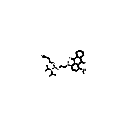 CNc1ccc(NCCOP(OCCC#N)N(C(C)C)C(C)C)c2c1C(=O)c1ccccc1C2=O